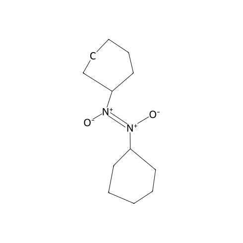 [O-]/[N+](C1CCCCC1)=[N+](/[O-])C1CCCCC1